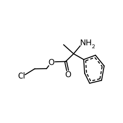 CC(N)(C(=O)OCCCl)c1ccccc1